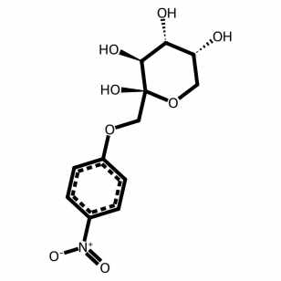 O=[N+]([O-])c1ccc(OC[C@@]2(O)OC[C@@H](O)[C@@H](O)[C@@H]2O)cc1